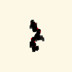 CC(C)(C)OC(=O)N(CCCOc1cccc(-c2ccc3c(C(=O)NCC(=O)N4CC(F)(F)C[C@H]4C#N)ccnc3c2)c1)CCCOc1cccc(-c2ccc3c(C(=O)NCC(=O)N4CC(F)(F)C[C@H]4C#N)ccnc3c2)c1